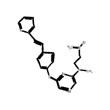 CC(=O)N(C)CCN(C)c1cncc(Oc2ccc(/C=C/c3ccccn3)cc2)n1